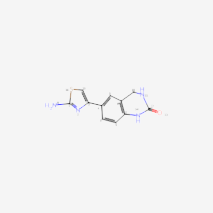 Nc1nc(-c2ccc3c(c2)CNC(=O)N3)cs1